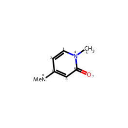 CNc1ccn(C)c(=O)c1